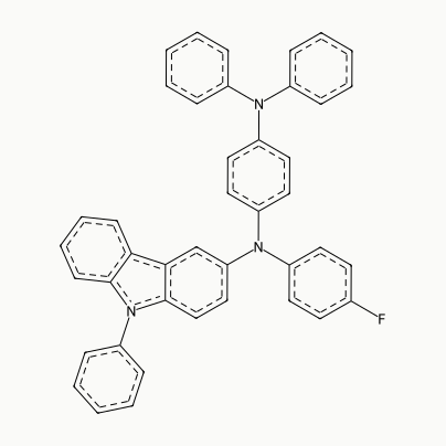 Fc1ccc(N(c2ccc(N(c3ccccc3)c3ccccc3)cc2)c2ccc3c(c2)c2ccccc2n3-c2ccccc2)cc1